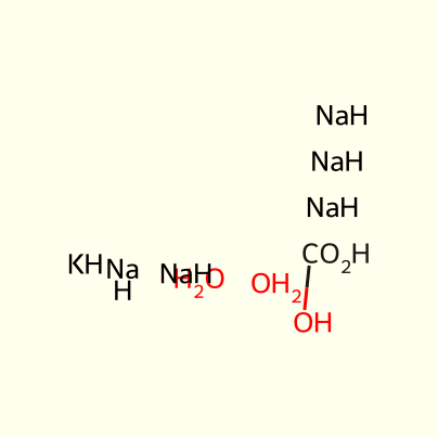 O.O.O=C(O)O.[KH].[NaH].[NaH].[NaH].[NaH].[NaH]